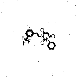 O=C1CC(=O)N(C2CCCCC2)C(=O)N1CCc1cccc(C(F)(F)F)c1